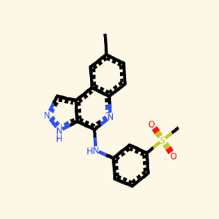 Cc1ccc2nc(Nc3cccc(S(C)(=O)=O)c3)c3[nH]ncc3c2c1